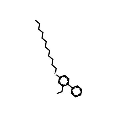 CCCCCCCCCCCCSc1ccc(-c2ccccc2)c(CC)c1